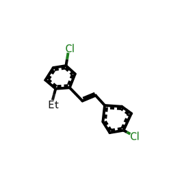 CCc1ccc(Cl)cc1C=Cc1ccc(Cl)cc1